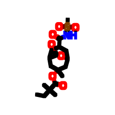 CCC(C)(C)C(=O)OC1(C)CC2CC(C(=O)NS(C)(=O)=O)CC(C1)C(=O)O2